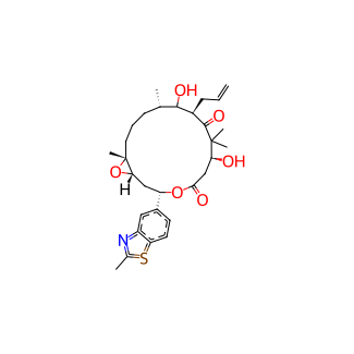 C=CC[C@H]1C(=O)C(C)(C)[C@@H](O)CC(=O)O[C@H](c2ccc3sc(C)nc3c2)C[C@@H]2O[C@]2(C)CCC[C@H](C)C1O